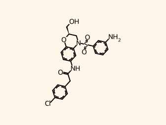 Nc1cccc(S(=O)(=O)N2C[C@H](CO)Oc3ccc(NC(=O)Cc4ccc(Cl)cc4)cc32)c1